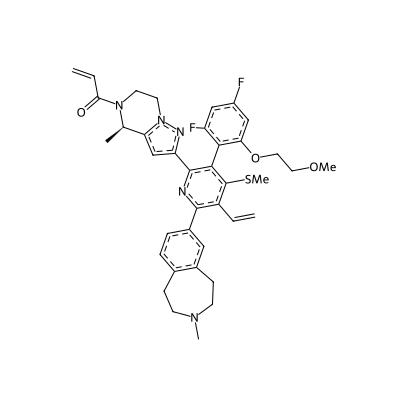 C=CC(=O)N1CCn2nc(-c3nc(-c4ccc5c(c4)CCN(C)CC5)c(C=C)c(SC)c3-c3c(F)cc(F)cc3OCCOC)cc2[C@H]1C